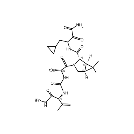 C=C(C)[C@H](NC(=O)N[C@H](C(=O)N1C[C@H]2[C@@H]([C@H]1C(=O)NC(CC1CC1)C(=O)C(N)=O)C2(C)C)C(C)(C)C)C(=O)NC(C)C